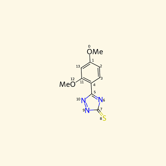 COc1ccc(C2=NC(=S)N=N2)c(OC)c1